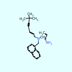 C=CCN.CN(C/C=C/C#CC(C)(C)C)Cc1cccc2ccccc12